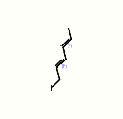 C/C=C/C=C/CI